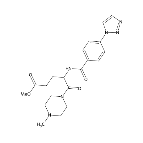 COC(=O)CCC(NC(=O)c1ccc(-n2ccnn2)cc1)C(=O)N1CCN(C)CC1